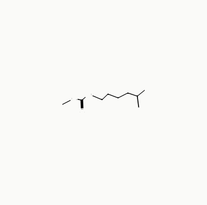 COC(=O)OCCCCC(C)C